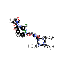 COc1cc2c(cc1-c1cccc(NC(=O)CON=C3CN(C(=O)CN4CCN(CC(=O)O)CCN(CC(=O)O)CCN(CC(=O)O)CC4)C3)c1)-c1c(c(C(=O)N3CCOCC3(C)C)nn1-c1cc(Cl)cc(Cl)c1)CO2